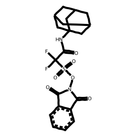 O=C1c2ccccc2C(=O)N1OS(=O)(=O)C(F)(F)C(=O)NC12CC3CC(CC(C3)C1)C2